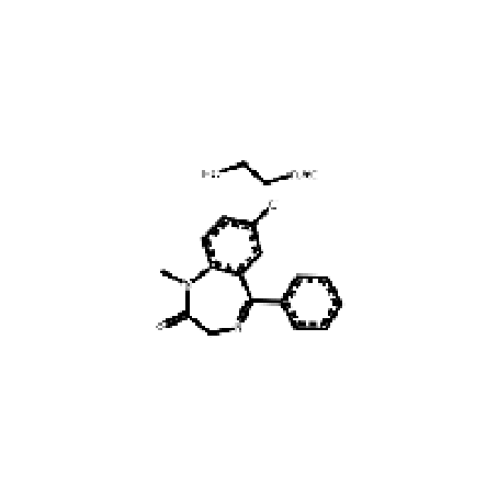 CCCCCCCCCCCCO.CN1C(=O)CN=C(c2ccccc2)c2cc(Cl)ccc21